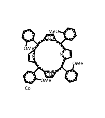 COc1ccccc1-c1c2nc(c(-c3ccccc3OC)c3ccc([nH]3)c(-c3ccccc3OC)c3nc(c(-c4ccccc4OC)c4ccc1[nH]4)C=C3)C=C2.[Co]